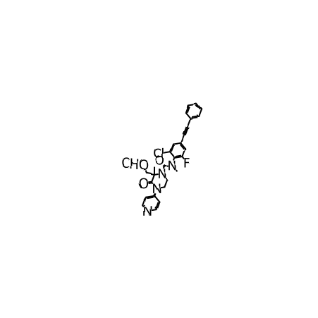 CN(C(=O)N1CCN(c2ccncc2)C(=O)C1(C)CC=O)c1c(F)cc(C#Cc2ccccc2)cc1Cl